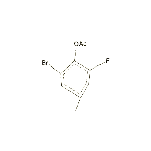 CC(=O)Oc1c(F)cc(C)cc1Br